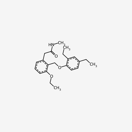 CCOc1cccc(CC(=O)NC)c1COc1ccc(CC)cc1CC